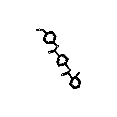 CCCCCCCCc1ccc(OC(=O)c2ccc(OC(=O)c3ccccc3C)cc2)cc1